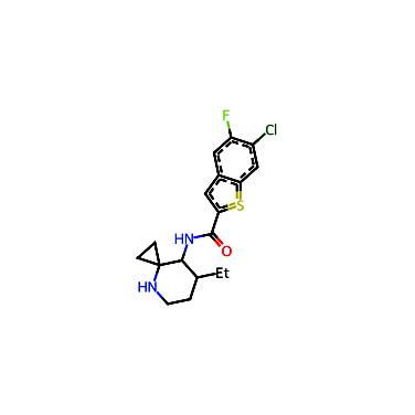 CCC1CCNC2(CC2)C1NC(=O)c1cc2cc(F)c(Cl)cc2s1